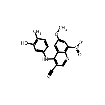 COc1cc([N+](=O)[O-])c2ncc(C#N)c(Nc3ccc(C)c(O)c3)c2c1